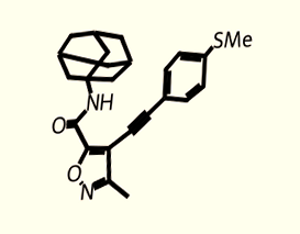 CSc1ccc(C#Cc2c(C)noc2C(=O)NC23CC4CC(CC(C4)C2)C3)cc1